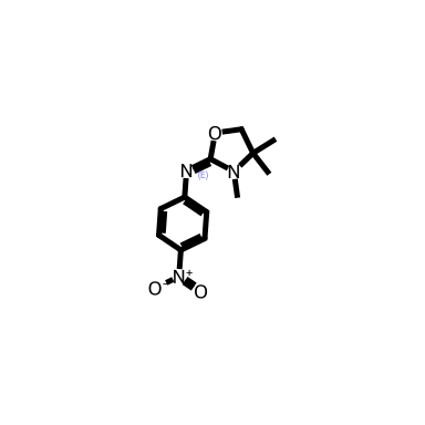 CN1/C(=N\c2ccc([N+](=O)[O-])cc2)OCC1(C)C